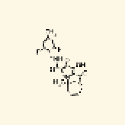 Cc1cc(F)c(CNC(=O)c2cn3c(c(O)c2=O)C(=O)N2CC=CCC3(C)C2)c(F)c1